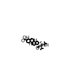 CC(C)NC(=S)N(C(=O)[C@H]1CC[C@H]2[C@@H]3CC=C4C=C(C(=O)O)CC[C@]4(C)[C@H]3CC[C@]12C)C(C)C